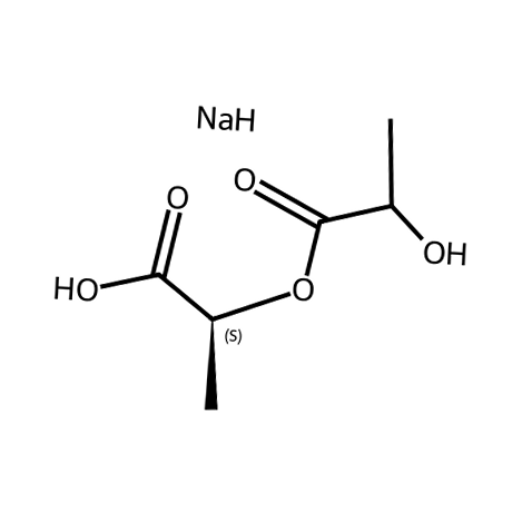 CC(O)C(=O)O[C@@H](C)C(=O)O.[NaH]